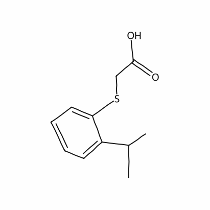 CC(C)c1ccccc1SCC(=O)O